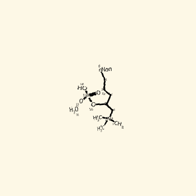 CCCCCCCCCCCCC(C[N+](C)(C)C)OP(=O)([O-])O.O